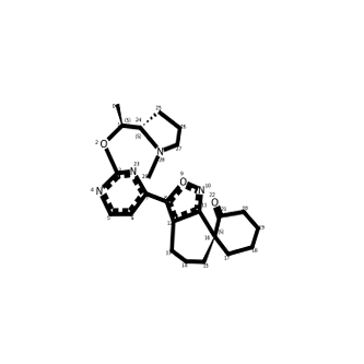 C[C@H](Oc1nccc(-c2onc3c2CCC[C@@]32CCCCC2=O)n1)[C@@H]1CCCN1C